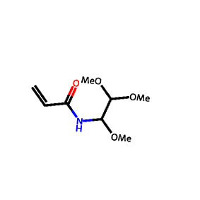 C=CC(=O)NC(OC)C(OC)OC